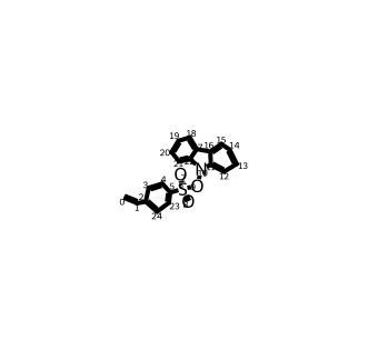 C=Cc1ccc(S(=O)(=O)On2c3ccccc3c3ccccc32)cc1